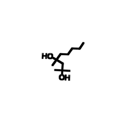 CCCCCC(C)(O)CC(C)(C)O